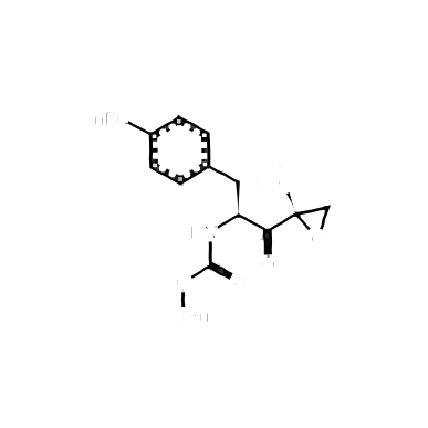 CCCCc1ccc(C[C@H](NC(=O)OC(C)(C)C)C(=O)[C@]2(C)CO2)cc1